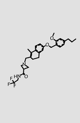 CCCc1ccc(COc2ccc3c(c2)CCC(CN2CC(C(=O)NCC(F)(F)F)C2)=C3C)c(OC)c1